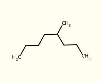 [CH2]CCCC(C)C[CH]C